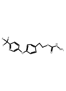 NNC(=O)OCCc1ccc(Oc2ccc(C(F)(F)F)nc2)cc1